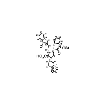 CCCCN(C(=O)CN1C[C@H](c2ccc3c(c2)OCO3)[C@@H](C(=O)O)[C@@H]1CCN1Cc2ccccc2C1=O)c1cccnc1